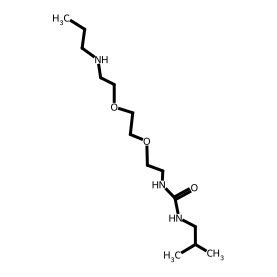 CCCNCCOCCOCCNC(=O)NCC(C)C